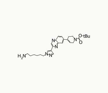 CC(C)(C)OC(=O)N1CC=C(c2ccc3ncc(-c4cnn(CCCCCCN)c4)nc3c2)CC1